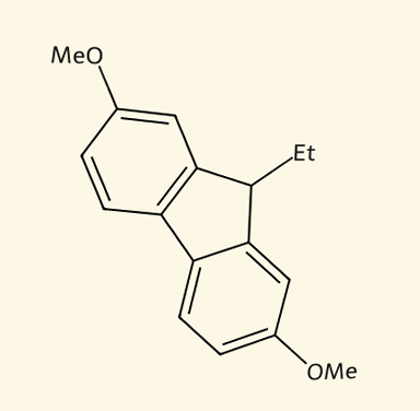 CCC1c2cc(OC)ccc2-c2ccc(OC)cc21